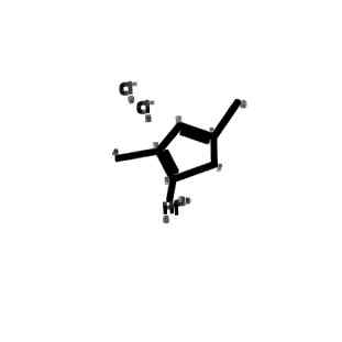 CC1=CC(C)=[C]([Hf+2])C1.[Cl-].[Cl-]